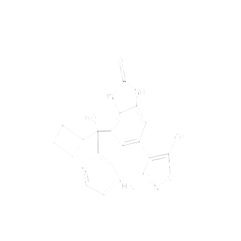 Cc1noc(C)c1-c1cc(C(O)(c2ccccn2)C2CCC2)c2[nH]c(=O)[nH]c2c1